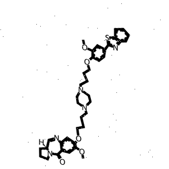 COc1cc(-c2nc3ccccc3s2)ccc1OCCCCN1CCN(CCCCOc2cc3c(cc2OC)C(=O)N2CCC[C@H]2C=N3)CC1